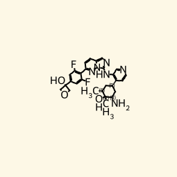 C[C@H]1C[C@@H](c2ccncc2Nc2ncc3ccc(-c4c(F)cc(C5(O)COC5)cc4F)nn23)C[C@@H](N)[C@]1(C)O